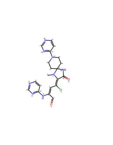 CN1/C(=C(Cl)\C=C(/C=O)Nc2ccncn2)C(=O)NC12CCN(c1ccncn1)CC2